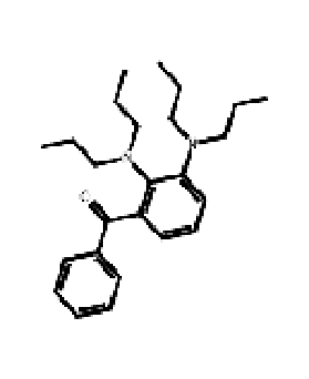 CCCN(CCC)c1cccc(C(=O)c2ccccc2)c1N(CCC)CCC